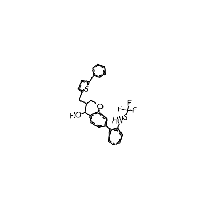 OC1c2ccc(-c3ccccc3NSC(F)(F)F)cc2OCC1Cc1ccc(-c2ccccc2)s1